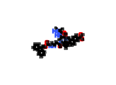 CN[C@@H](C)C(=O)NC1CN(C(=O)CCCNC(=O)OCC2c3ccccc3-c3ccccc32)c2ccccc2N(Cc2c(OC)ccc3cc(C(=O)OC)ccc23)C1=O